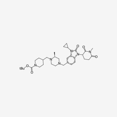 C[C@H]1CN(Cc2ccc3c(c2)n(C2CC2)c(=O)n3C2CCC(=O)N(C)C2=O)CCN1CC1CCN(C(=O)OC(C)(C)C)CC1